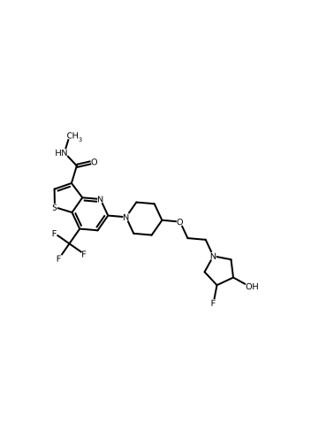 CNC(=O)c1csc2c(C(F)(F)F)cc(N3CCC(OCCN4CC(O)C(F)C4)CC3)nc12